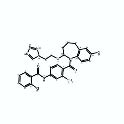 Cc1cc(NC(=O)c2ccccc2Cl)ccc1C(=O)N1c2ccc(Cl)cc2CCCC1OCCn1cnnn1